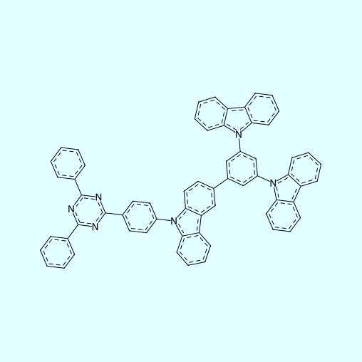 c1ccc(-c2nc(-c3ccccc3)nc(-c3ccc(-n4c5ccccc5c5cc(-c6cc(-n7c8ccccc8c8ccccc87)cc(-n7c8ccccc8c8ccccc87)c6)ccc54)cc3)n2)cc1